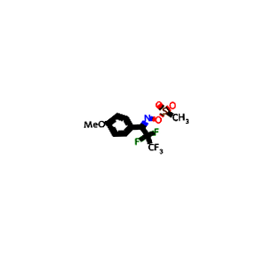 COc1ccc(C(=NOS(C)(=O)=O)C(F)(F)C(F)(F)F)cc1